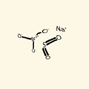 O=S=O.[Na+].[O-][Br+2]([O-])[O-]